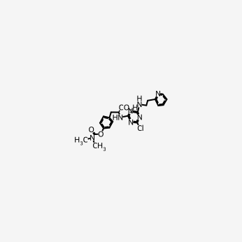 CN(C)C(=O)Oc1ccc(C[C@H](Nc2nc(Cl)nc(NCCc3ccccn3)n2)C(=O)O)cc1